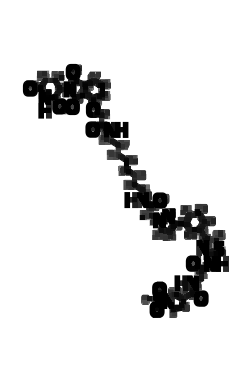 CS(=O)(=O)n1ccc(C(=O)NCC(=O)Nc2nc(-c3cccc(-c4ccn(CC(=O)NCCCCCCCCNC(=O)COc5cccc6c5C(=O)N(C5CCC(=O)NC5=O)C6=O)n4)c3)cs2)c1